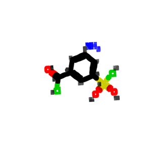 N.O=C(Cl)c1cccc(S(=O)(=O)Cl)c1